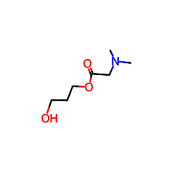 CN(C)CC(=O)OCCCO